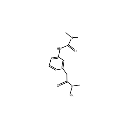 CCCCN(C)C(=O)Cc1cccc(NC(=O)N(C)C)c1